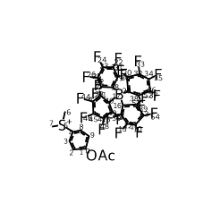 CC(=O)Oc1ccc([S+](C)C)cc1.Fc1c(F)c(F)c([B-](c2c(F)c(F)c(F)c(F)c2F)(c2c(F)c(F)c(F)c(F)c2F)c2c(F)c(F)c(F)c(F)c2F)c(F)c1F